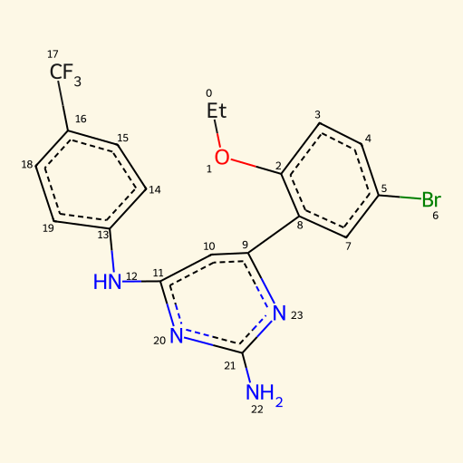 CCOc1ccc(Br)cc1-c1cc(Nc2ccc(C(F)(F)F)cc2)nc(N)n1